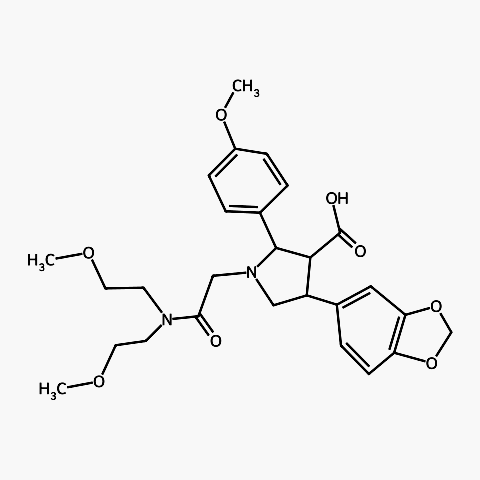 COCCN(CCOC)C(=O)CN1CC(c2ccc3c(c2)OCO3)C(C(=O)O)C1c1ccc(OC)cc1